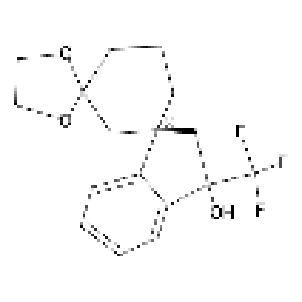 OC1(C(F)(F)F)C[C@@]2(CCCC3(C2)OCCO3)c2ccccc21